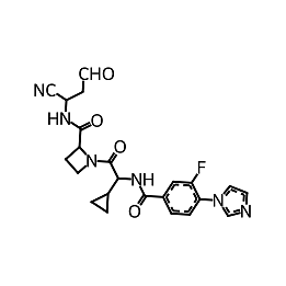 N#CC(CC=O)NC(=O)C1CCN1C(=O)C(NC(=O)c1ccc(-n2ccnc2)c(F)c1)C1CC1